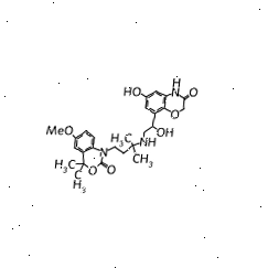 COc1ccc2c(c1)C(C)(C)OC(=O)N2CCC(C)(C)NCC(O)c1cc(O)cc2c1OCC(=O)N2